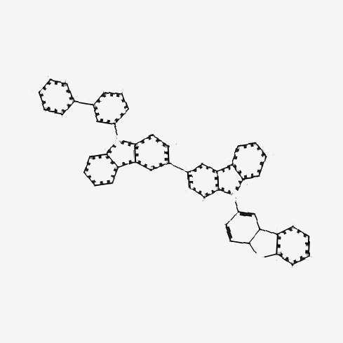 C1=CC2Oc3ccccc3C2C=C1n1c2ccccc2c2cc(-c3ccc4c(c3)c3ccccc3n4-c3cccc(-c4ccccc4)c3)ccc21